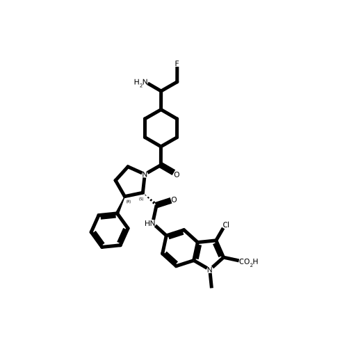 Cn1c(C(=O)O)c(Cl)c2cc(NC(=O)[C@@H]3[C@@H](c4ccccc4)CCN3C(=O)C3CCC(C(N)CF)CC3)ccc21